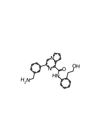 NCc1cccc(-c2cn3cccc3c(C(=O)Nc3ccccc3CCO)n2)c1